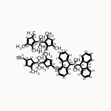 CC1=C([Si](C)(C)C2=C(C)C=C(C(C)(C)C)C2)CC(C(C)(C)C)=C1.CC1=CC(C)C([Si](C)(C)C2=C(C)C(C)=CC2C)=C1C.C[Si](C)(C1c2ccccc2-c2ccccc21)C1c2ccccc2-c2ccccc21